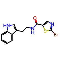 O=C(NCCc1c[nH]c2ccccc12)c1cnc(Br)s1